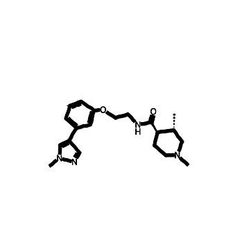 C[C@@H]1CN(C)CC[C@H]1C(=O)NCCOc1c[c]cc(-c2cnn(C)c2)c1